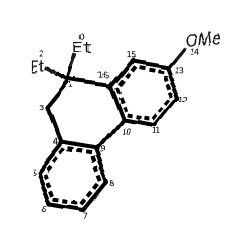 CCC1(CC)Cc2ccccc2-c2ccc(OC)cc21